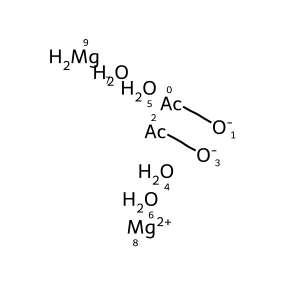 CC(=O)[O-].CC(=O)[O-].O.O.O.O.[Mg+2].[MgH2]